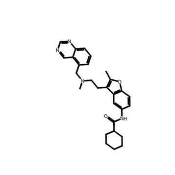 Cc1oc2ccc(NC(=O)C3CCCCC3)cc2c1CCN(C)Cc1cccc2ncncc12